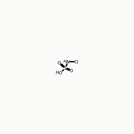 O=S(=O)(O)NCl